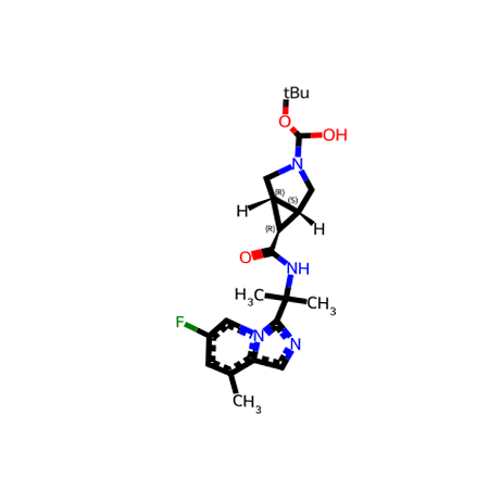 Cc1cc(F)cn2c(C(C)(C)NC(=O)[C@H]3[C@@H]4CN(C(O)OC(C)(C)C)C[C@@H]43)ncc12